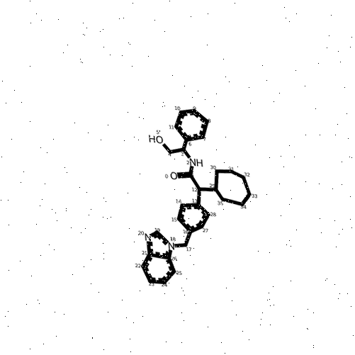 O=C(NC(CO)c1ccccc1)C(c1ccc(Cn2cnc3ccccc32)cc1)C1CCCCCC1